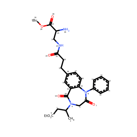 CCOC(=O)CC(C)N1CC(=O)N(c2ccccc2)c2ccc(CCC(=O)NCC(N)C(=O)OC(C)(C)C)cc2C1=O